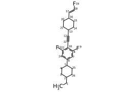 CCC1CCC(c2cc(F)c(C#CC3CCC(/C=C/F)CC3)c(F)c2)CC1